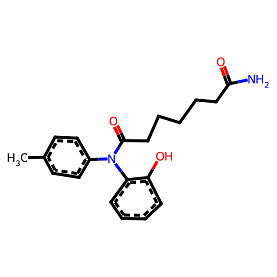 Cc1ccc(N(C(=O)CCCCCC(N)=O)c2ccccc2O)cc1